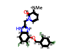 CNc1cccn(Cc2nc3c(OCc4ccc(F)cc4F)c(F)c(F)cc3[nH]2)c1=O